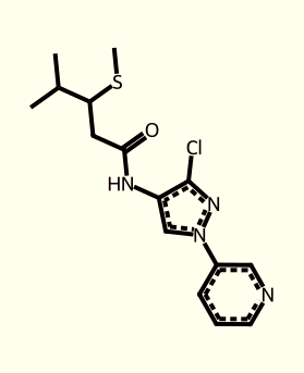 CSC(CC(=O)Nc1cn(-c2cccnc2)nc1Cl)C(C)C